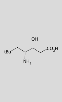 CC(C)(C)CC(N)C(O)CC(=O)O